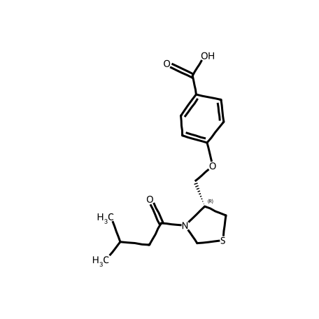 CC(C)CC(=O)N1CSC[C@H]1COc1ccc(C(=O)O)cc1